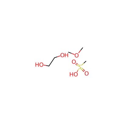 COC.CS(=O)(=O)O.OCCO